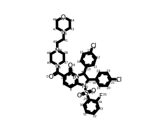 O=C(c1ccc2n(c1=O)C(c1ccc(Cl)cc1)C(c1ccc(Cl)cc1)N2S(=O)(=O)c1ccccc1F)N1CCN(CCN2CCOCC2)CC1